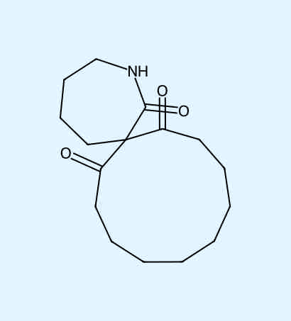 O=C1CCCCCCCCC(=O)C12CCCCNC2=O